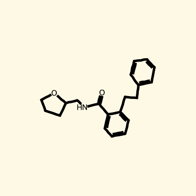 O=C(NCC1CCCO1)c1ccccc1CCc1ccccc1